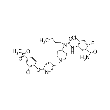 CCCCN(C(=O)Nc1cc(C(N)=O)c(F)cc1Cl)C1CCN(Cc2ccc(Oc3ccc(S(C)(=O)=O)cc3Cl)nc2)CC1